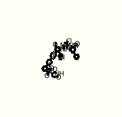 COc1cc(Nc2ncc(Cl)c(Nc3ccc(-c4ccccc4)cc3P(C)(C)=O)n2)c(-c2cnn(C)c2)c(N2CCN(C3CCN(c4cccc5c4C(=O)N(C4CCC(=O)NC4=O)C5=O)CC3)CC2)c1